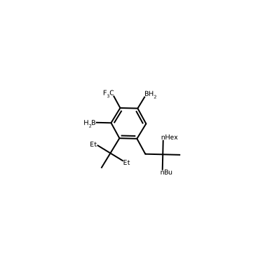 Bc1cc(CC(C)(CCCC)CCCCCC)c(C(C)(CC)CC)c(B)c1C(F)(F)F